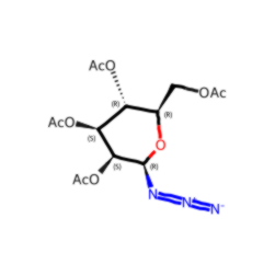 CC(=O)OC[C@H]1O[C@@H](N=[N+]=[N-])[C@@H](OC(C)=O)[C@@H](OC(C)=O)[C@@H]1OC(C)=O